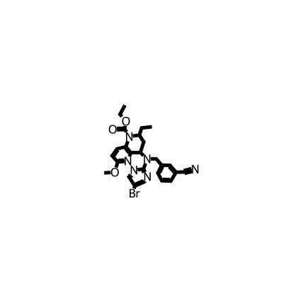 CCOC(=O)N1c2ccc(OC)nc2C(N(Cc2cccc(C#N)c2)c2ncc(Br)cn2)CC1CC